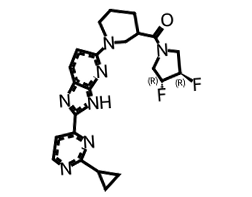 O=C(C1CCCN(c2ccc3nc(-c4ccnc(C5CC5)n4)[nH]c3n2)C1)N1C[C@@H](F)[C@H](F)C1